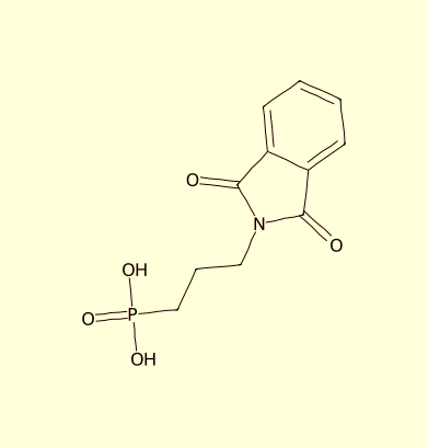 O=C1c2ccccc2C(=O)N1CCCP(=O)(O)O